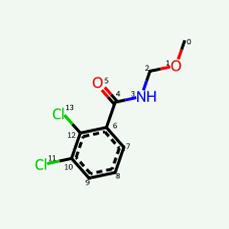 COCNC(=O)c1[c]ccc(Cl)c1Cl